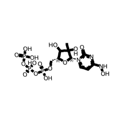 CC1(O)C(O)[C@@H](COP(=O)(O)OP(=O)(O)OP(=O)(O)O)O[C@H]1n1ccc(NO)nc1=O